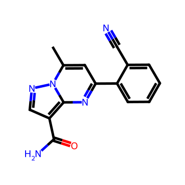 Cc1cc(-c2ccccc2C#N)nc2c(C(N)=O)cnn12